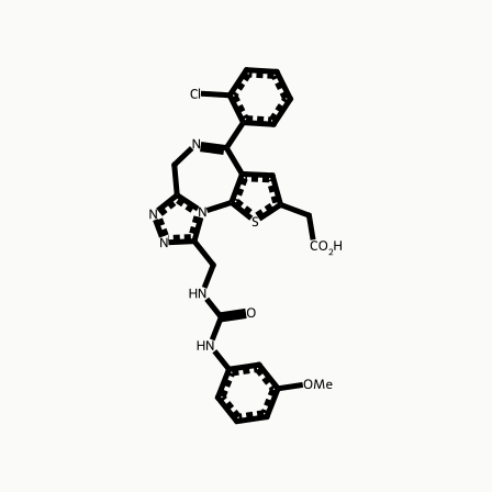 COc1cccc(NC(=O)NCc2nnc3n2-c2sc(CC(=O)O)cc2C(c2ccccc2Cl)=NC3)c1